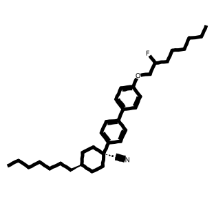 CCCCCCC[C@H]1CC[C@@](C#N)(c2ccc(-c3ccc(OCC(F)CCCCCC)cc3)cc2)CC1